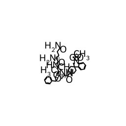 CC(C)(NC(=O)[C@@H](N)CCC(N)=O)C(=O)N[C@H](COCc1ccccc1)C(=O)N1CCC2(CC1)CN(S(C)(=O)=O)c1ccccc12